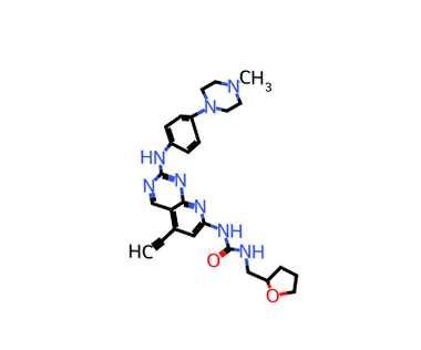 C#Cc1cc(NC(=O)NCC2CCCO2)nc2nc(Nc3ccc(N4CCN(C)CC4)cc3)ncc12